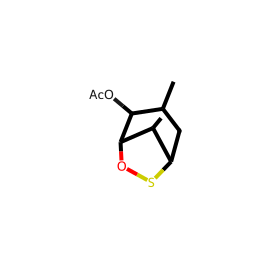 CC(=O)OC1C(C)CC2SOC1C2C